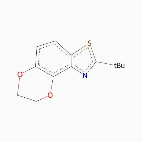 CC(C)(C)c1nc2c3c(ccc2s1)OCCO3